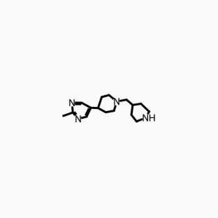 Cc1ncc(C2CCN(CC3CCNCC3)CC2)cn1